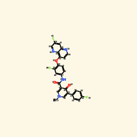 CC(C)n1cc(C(=O)Nc2ccc(Oc3ccnc4cc(F)cnc34)c(F)c2)c(=O)c(-c2ccc(F)cc2)c1